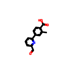 Cc1cc(-c2cccc(C=O)n2)ccc1C(=O)O